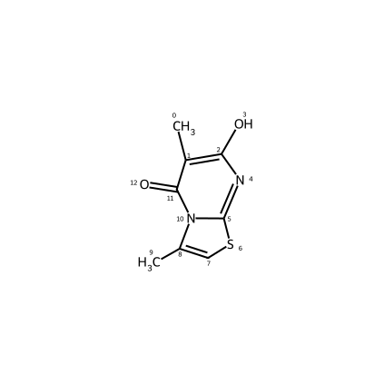 Cc1c(O)nc2scc(C)n2c1=O